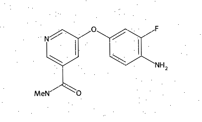 CNC(=O)c1cncc(Oc2ccc(N)c(F)c2)c1